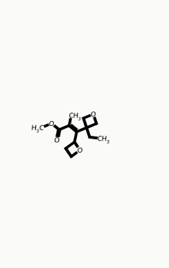 CCC1(C(=C(C)C(=O)OC)C2CCO2)COC1